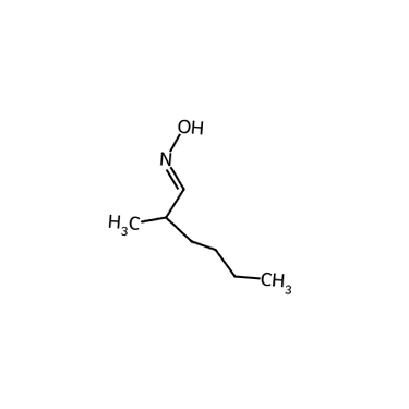 CCCCC(C)C=NO